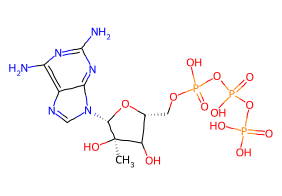 C[C@@]1(O)C(O)[C@@H](COP(=O)(O)OP(=O)(O)OP(=O)(O)O)O[C@H]1n1cnc2c(N)nc(N)nc21